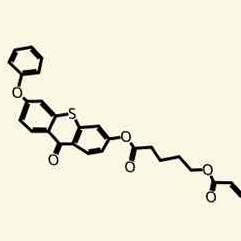 C=CC(=O)OCCCCC(=O)Oc1ccc2c(=O)c3ccc(Oc4ccccc4)cc3sc2c1